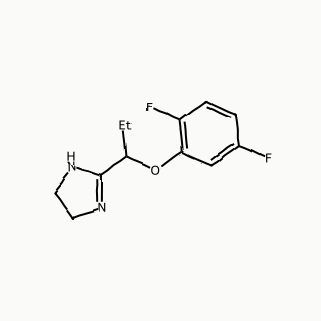 CCC(Oc1cc(F)ccc1F)C1=NCCN1